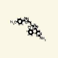 CC1C=CC(c2nnc(CSc3nnc(-c4cnc(N)nc4)n3-c3ccccc3Cl)o2)=CC1